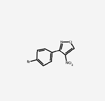 O=[N+]([O-])c1conc1-c1ccc(Br)cc1